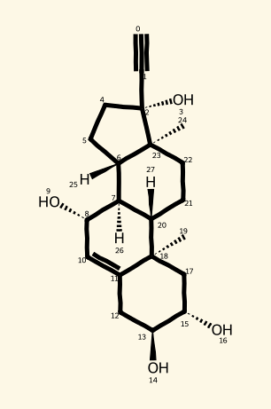 C#C[C@]1(O)CC[C@H]2[C@@H]3[C@@H](O)C=C4C[C@H](O)[C@@H](O)C[C@]4(C)[C@H]3CC[C@@]21C